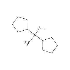 FC(F)(F)C(C1CCCC1)(C1CCCC1)C(F)(F)F